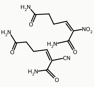 N#CC(=CCCC(N)=O)C(N)=O.NC(=O)CCC=C(C(N)=O)[N+](=O)[O-]